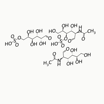 CC(=O)N[C@@H](C=O)[C@@H](O)[C@@H](OS(=O)(=O)O)[C@H](O)CO.CC(=O)N[C@@H](C=O)[C@@H](O)[C@H](O)[C@H](O)CO.O=C[C@H](O)[C@@H](O)[C@@H](O)[C@H](O)COS(=O)(=O)O